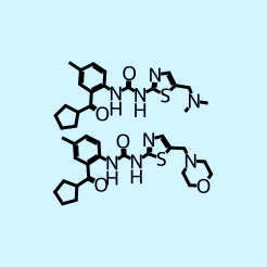 Cc1ccc(NC(=O)Nc2ncc(CN(C)C)s2)c(C(=O)C2CCCC2)c1.Cc1ccc(NC(=O)Nc2ncc(CN3CCOCC3)s2)c(C(=O)C2CCCC2)c1